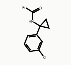 CC(C)C(=O)NC1(c2cccc(Cl)c2)CC1